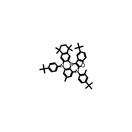 Cc1cc2c3c(c1)N(c1ccc(C(C)(C)C)cc1C)c1oc4ccc(C(C)(C)C)cc4c1B3c1cc3c(cc1N2c1ccc(C(C)(C)C)cc1)C(C)(C)CCC3(C)C